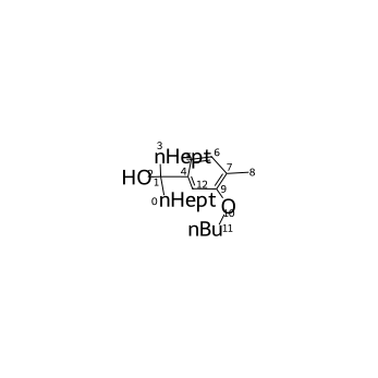 CCCCCCCC(O)(CCCCCCC)c1ccc(C)c(OCCCC)c1